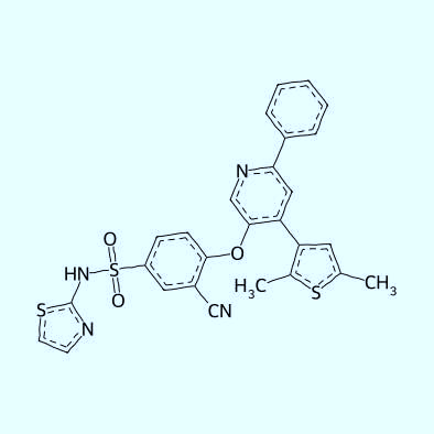 Cc1cc(-c2cc(-c3ccccc3)ncc2Oc2ccc(S(=O)(=O)Nc3nccs3)cc2C#N)c(C)s1